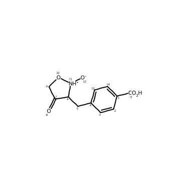 O=C(O)c1ccc(CC2C(=O)CO[NH+]2[O-])cc1